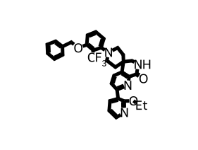 CCOc1ncccc1-c1ccc2c(n1)C(=O)NCC21CCN(c2cccc(OCc3ccccc3)c2C(F)(F)F)CC1